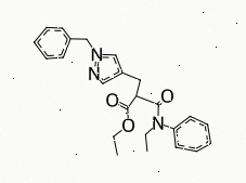 CCOC(=O)C(Cc1cnn(Cc2ccccc2)c1)C(=O)N(CC)c1ccccc1